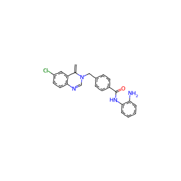 C=C1c2cc(Cl)ccc2N=CN1Cc1ccc(C(=O)Nc2ccccc2N)cc1